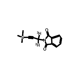 [2H]C([2H])(C#C[Si](C)(C)C)N1C(=O)c2ccccc2C1=O